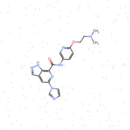 CN(C)CCOc1ccc(NC(=O)c2nc(-n3ccnc3)cc3cn[nH]c23)cn1